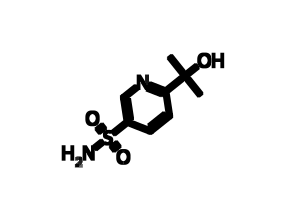 CC(C)(O)c1ccc(S(N)(=O)=O)cn1